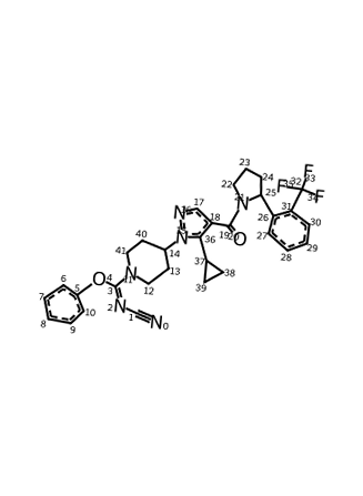 N#CN=C(Oc1ccccc1)N1CCC(n2ncc(C(=O)N3CCCC3c3ccccc3C(F)(F)F)c2C2CC2)CC1